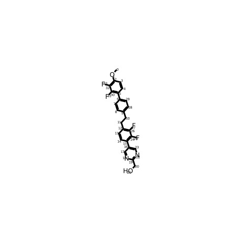 COc1ccc(-c2ccc(CCc3ccc(-c4cnc(CO)nc4)c(F)c3F)cc2)c(F)c1F